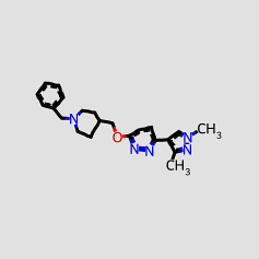 Cc1nn(C)cc1-c1ccc(OCC2CCN(Cc3ccccc3)CC2)nn1